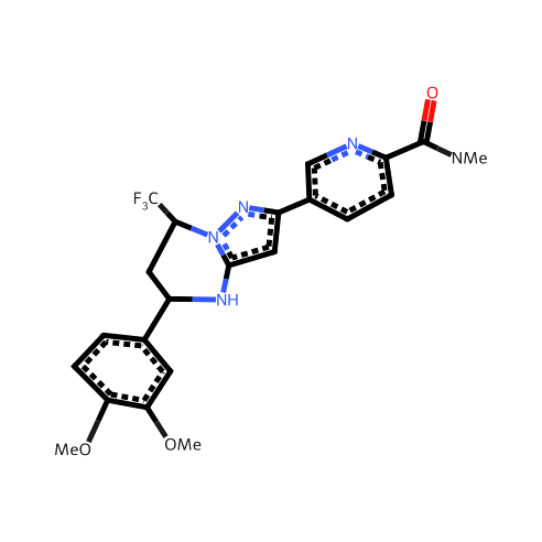 CNC(=O)c1ccc(-c2cc3n(n2)C(C(F)(F)F)CC(c2ccc(OC)c(OC)c2)N3)cn1